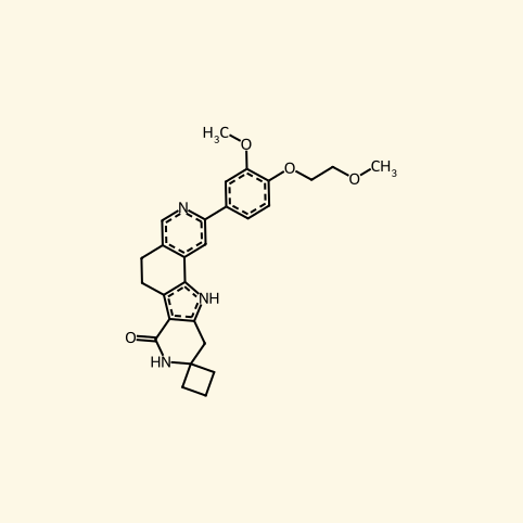 COCCOc1ccc(-c2cc3c(cn2)CCc2c-3[nH]c3c2C(=O)NC2(CCC2)C3)cc1OC